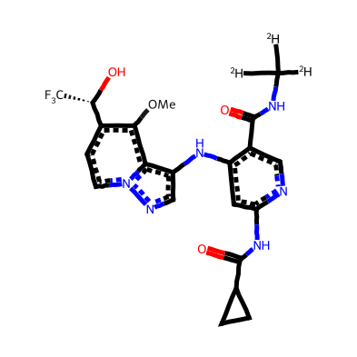 [2H]C([2H])([2H])NC(=O)c1cnc(NC(=O)C2CC2)cc1Nc1cnn2ccc([C@@H](O)C(F)(F)F)c(OC)c12